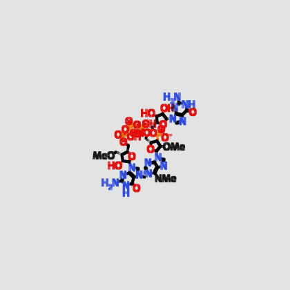 CNc1ncnc2c1ncn2[C@@H]1O[C@H](COP(=O)(O)OP(=O)(O)OP(=O)(O)OC[C@H]2O[C@@H](n3c[n+](C)c4c(=O)[nH]c(N)nc43)[C@H](O)[C@@H]2COC)[C@@H](P(=O)([O-])OC[C@H]2O[C@@H](n3cnc4c(=O)[nH]c(N)nc43)[C@H](O)[C@@H]2O)[C@H]1OC